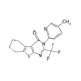 Cc1ccc(-n2c(C(F)(F)F)nc3sc4c(c3c2=O)CCCC4)nc1